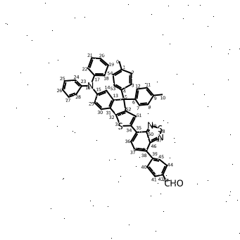 Cc1ccc(C2(c3ccc(C)cc3)c3cc(N(c4ccccc4)c4ccccc4)ccc3-c3sc(-c4ccc(-c5ccc(C=O)cc5)c5nsnc45)cc32)cc1